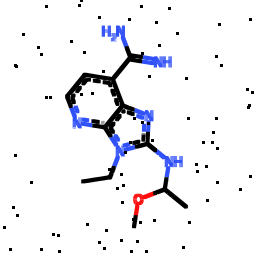 CCn1c(NC(C)OC)nc2c(C(=N)N)ccnc21